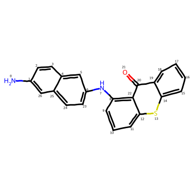 Nc1ccc2cc(Nc3cccc4sc5ccccc5c(=O)c34)ccc2c1